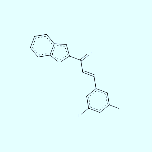 O=C(/C=C/c1cc(F)cc(F)c1)c1cc2ccccc2s1